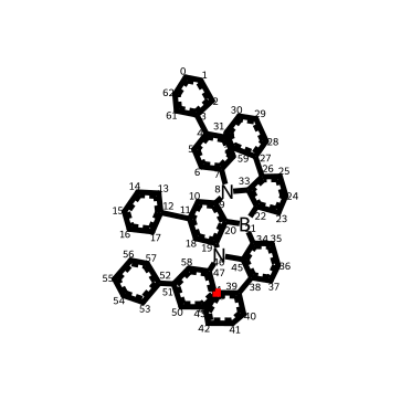 c1ccc(-c2ccc(N3c4cc(-c5ccccc5)cc5c4B(c4cccc(-c6ccccc6)c43)c3cccc(-c4ccccc4)c3N5c3cccc(-c4ccccc4)c3)cc2)cc1